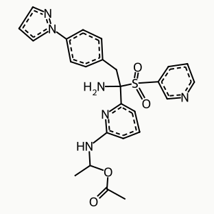 CC(=O)OC(C)Nc1cccc(C(N)(Cc2ccc(-n3cccn3)cc2)S(=O)(=O)c2cccnc2)n1